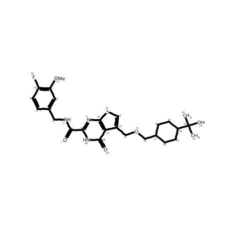 COc1cc(CNC(=O)c2nc3scc(COCC4CCC(C(C)(C)O)CC4)c3c(=O)[nH]2)ccc1F